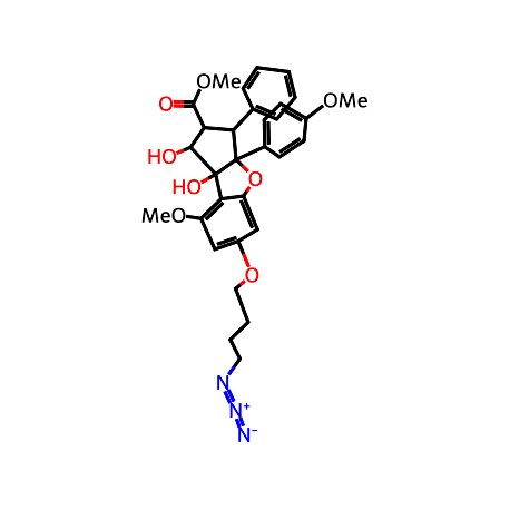 COC(=O)C1C(O)C2(O)c3c(OC)cc(OCCCCN=[N+]=[N-])cc3OC2(c2ccc(OC)cc2)C1c1ccccc1